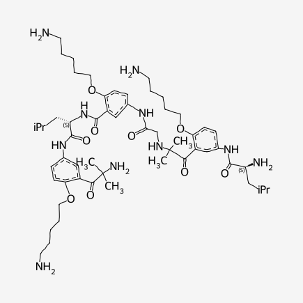 CC(C)C[C@H](NC(=O)c1cc(NC(=O)CNC(C)(C)C(=O)c2cc(NC(=O)[C@@H](N)CC(C)C)ccc2OCCCCCN)ccc1OCCCCCN)C(=O)Nc1ccc(OCCCCCN)c(C(=O)C(C)(C)N)c1